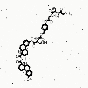 CC(C)C(NC(=O)CN)C(=O)NCC(=O)Nc1ccc(COC(=O)N[C@@H](CO)C(=O)Nc2ccc3c(c2)[C@@]2(C)CCC[C@](C)(C(=O)NC(=O)[C@@]4(C)CCC[C@]5(C)c6cc(O)ccc6CC[C@@H]45)[C@@H]2CC3)cc1